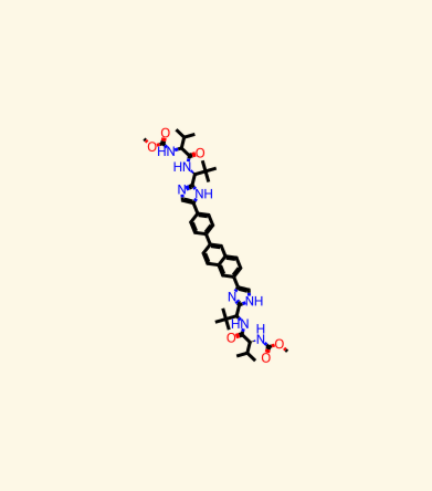 COC(=O)NC(C(=O)N[C@H](c1ncc(-c2ccc(-c3ccc4cc(-c5c[nH]c(C(NC(=O)[C@H](NC(=O)OC)C(C)C)C(C)(C)C)n5)ccc4c3)cc2)[nH]1)C(C)(C)C)C(C)C